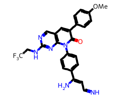 COc1ccc(-c2cc3cnc(NCC(F)(F)F)nc3n(-c3ccc(/C(N)=C/C=N)cc3)c2=O)cc1